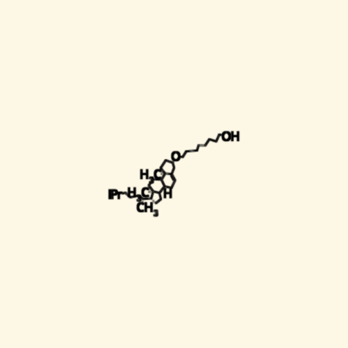 CC(C)CCC[C@@H](C)[C@H]1CCC2[C@@H]3CC=C4C[C@@H](OCCCCCCCCO)CC[C@]4(C)C3CC[C@@]21C